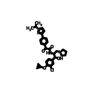 CC(C)n1ccc(-c2ccc(C(=O)C(=O)NC(CN3CCCC3)C(O)c3ccc(OC4CC4)c(Cl)c3)cc2)n1